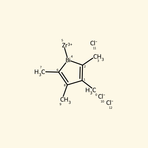 CC1=[C](C)[Bi]([Zr+3])[C](C)=C1C.[Cl-].[Cl-].[Cl-]